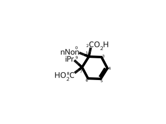 CCCCCCCCCC1(C(=O)O)CC=CCC1(C(=O)O)C(C)C